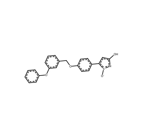 [O-][s+]1nc(O)cc1-c1ccc(OCc2cccc(Oc3ccccc3)c2)cc1